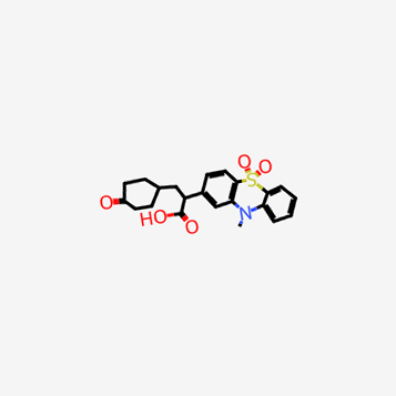 CN1c2ccccc2S(=O)(=O)c2ccc(C(CC3CCC(=O)CC3)C(=O)O)cc21